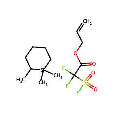 C=CCOC(=O)C(F)(F)S(=O)(=O)F.CC1CCCC[Si]1(C)C